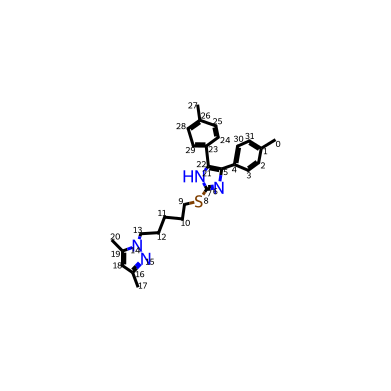 Cc1ccc(-c2nc(SCCCCCn3nc(C)cc3C)[nH]c2-c2ccc(C)cc2)cc1